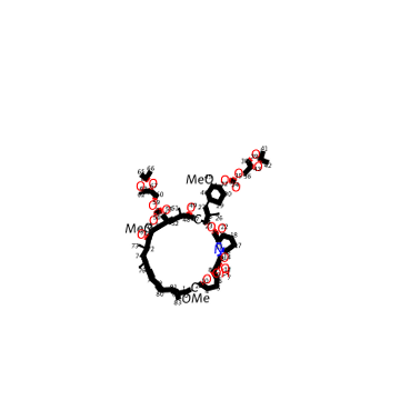 CO[C@H]1CC2CC[C@@H](C)[C@@](O)(O2)C(=O)C(=O)N2CCCCC2C(=O)O[C@H]([C@H](C)C[C@@H]2CC[C@@H](OC(=O)OCC3COC(C)(C)O3)[C@H](OC)C2)CC(=O)[C@H](C)/C=C(\C)[C@@H](OC(=O)OCC2COC(C)(C)O2)[C@@H](OC)C(=O)[C@H](C)C[C@H](C)/C=C/C=C/C=C/1C